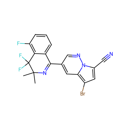 CC1(C)N=C(c2cnn3c(C#N)cc(Br)c3c2)c2cccc(F)c2C1(F)F